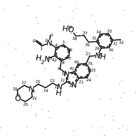 C=CN(C)c1cccc(Cn2c(NCCCN3CCOCC3)nc3ccc(CNc4cc(C)ccc4CCCO)cc32)c1N